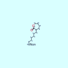 CCCCCCCCCCCCCCCC1CCCCOC1=O